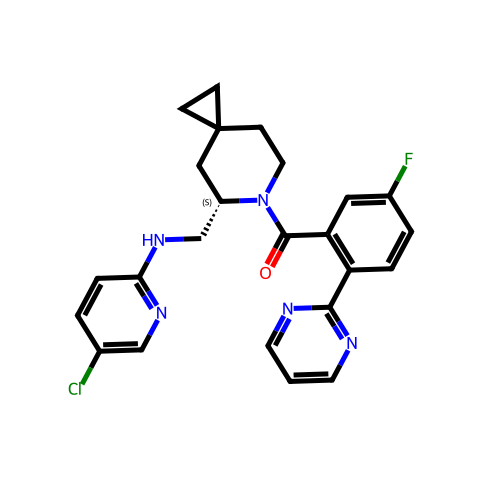 O=C(c1cc(F)ccc1-c1ncccn1)N1CCC2(CC2)C[C@H]1CNc1ccc(Cl)cn1